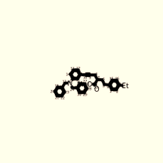 CCc1ccc(CCC(CC#Cc2cccc(N(Cc3ccccc3)Cc3ccccc3)c2)C(=O)OC)cc1